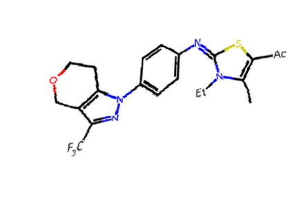 CCn1c(C)c(C(C)=O)sc1=Nc1ccc(-n2nc(C(F)(F)F)c3c2CCOC3)cc1